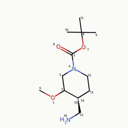 COC1CN(C(=O)OC(C)(C)C)CC[C@H]1CN